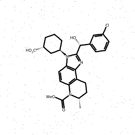 COC(=O)N1c2ccc3c(nc([C@H](O)c4cccc(Cl)c4)n3[C@@H]3CCC[C@@H](C(=O)O)C3)c2CC[C@@H]1C